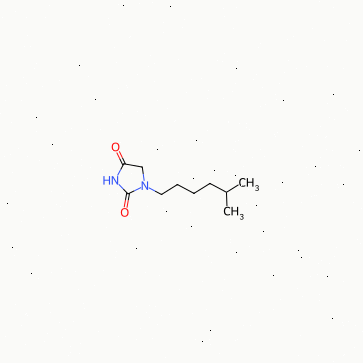 CC(C)CCCCN1CC(=O)NC1=O